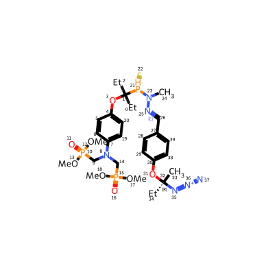 CCC(CC)(Oc1ccc(N(CP(=O)(OC)OC)CP(=O)(OC)OC)cc1)[PH](=S)N(C)/N=C/c1ccc(O[C@](C)(CC)N=[N+]=[N-])cc1